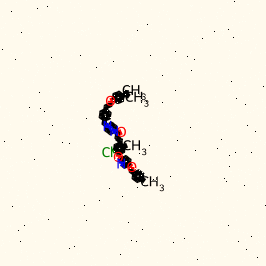 Cc1ccc(COc2ccc(Oc3cc(C)c(C=CC(=O)N4CCN(Cc5ccc(CCOc6ccc(C(C)C)cc6)cc5)CC4)cc3Cl)nc2)cc1